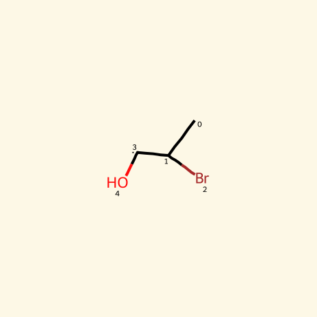 CC(Br)[CH]O